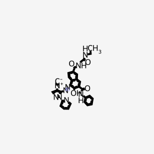 [C-]#[N+]c1cnn(-c2ccccn2)c1/N=N/c1c(O)c(C(=O)Nc2ccccc2)cc2cc(C(=O)NCC(=O)NCC)ccc12